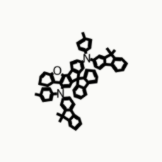 Cc1ccc(N(c2ccc3c(c2)C(C)(C)c2ccccc2-3)c2ccc3c(c2)C2(c4ccccc4-c4ccccc42)c2cc(N(c4ccc(C)cc4)c4ccc5c(c4)C(C)(C)c4ccccc4-5)c4c5c(oc4c2-3)C=CCC5)cc1